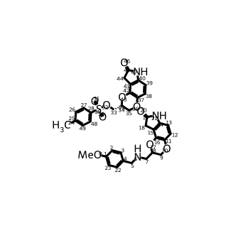 COc1ccc(CNCC2COc3ccc4c(c3O2)CC(=O)N4)cc1.Cc1ccc(S(=O)(=O)OC[C@H]2COc3ccc4c(c3O2)CC(=O)N4)cc1